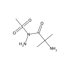 CC(C)(N)C(=O)N(N)S(C)(=O)=O